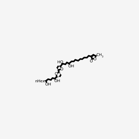 CCCCCC[C@H](O)CCC[C@H](O)[C@H]1CC[C@@H]([C@H]2CC[C@H]([C@H](O)CC[C@H](O)CCCCCCCCCC3=C[C@H](C)OC3=O)O2)O1